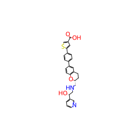 O=C(O)c1csc(-c2ccc(-c3ccc4c(c3)CC[C@H](CNC[C@@H](O)c3cccnc3)O4)cc2)c1